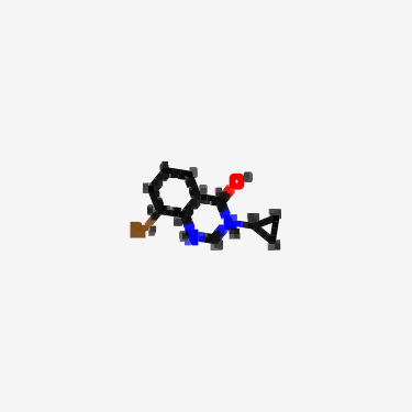 O=c1c2cccc(Br)c2ncn1C1CC1